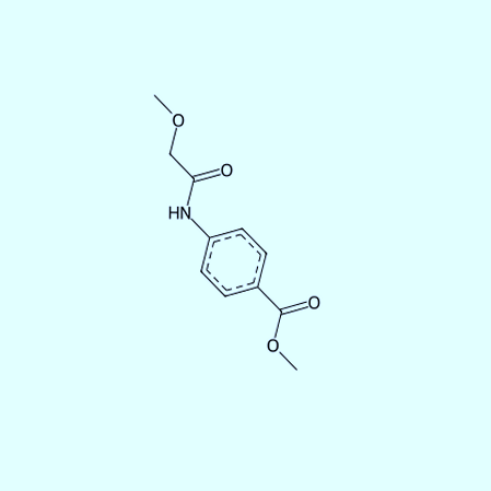 COCC(=O)Nc1ccc(C(=O)OC)cc1